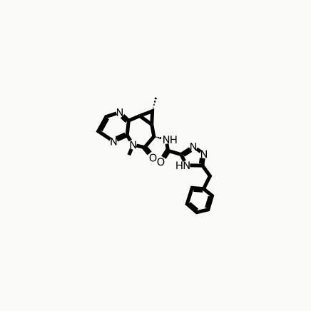 C[C@H]1C2c3nccnc3N(C)C(=O)[C@@H](NC(=O)c3nnc(Cc4ccccc4)[nH]3)C21